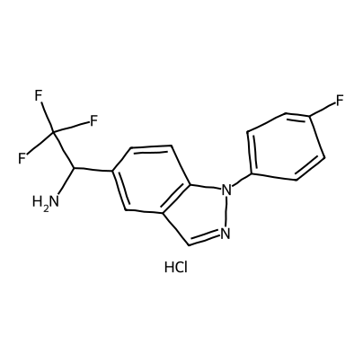 Cl.NC(c1ccc2c(cnn2-c2ccc(F)cc2)c1)C(F)(F)F